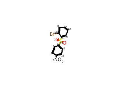 O=[N+]([O-])c1ccc(S(=O)(=O)c2ccccc2Br)cc1